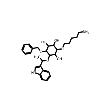 CC(OC1C(O)C(OCCCCCN)C(O)C(O)C1OCc1ccccc1)c1c[nH]c2ccccc12